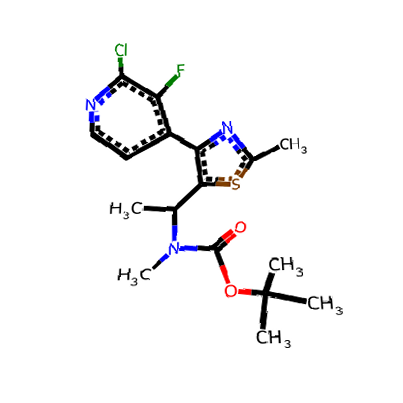 Cc1nc(-c2ccnc(Cl)c2F)c(C(C)N(C)C(=O)OC(C)(C)C)s1